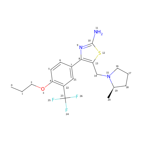 CCCOc1ccc(-c2nc(N)sc2CN2CCC[C@H]2C)cc1C(F)(F)F